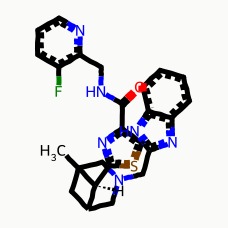 CC12CC(CN(Cc3nc4ccccc4[nH]3)C1)[C@@H]2c1nc(C(=O)NCc2ncccc2F)cs1